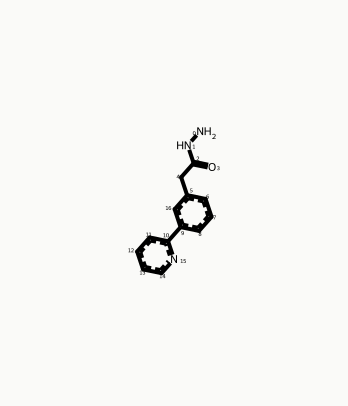 NNC(=O)Cc1cccc(-c2ccccn2)c1